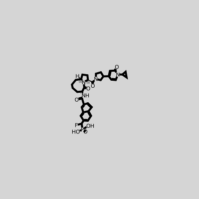 O=C(N[C@H]1CCCC[C@H]2CC[C@@H](C(=O)N3CCC(c4ccn(C5CC5)c(=O)c4)C3)N2C1=O)c1ccc2ccc(C(F)P(=O)(O)O)cc2c1